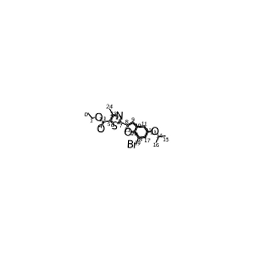 CCOC(=O)c1sc(-c2cc3cc(OC(C)C)cc(Br)c3o2)nc1C